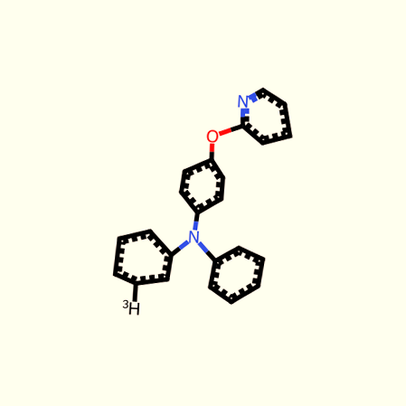 [3H]c1cccc(N(c2ccccc2)c2ccc(Oc3ccccn3)cc2)c1